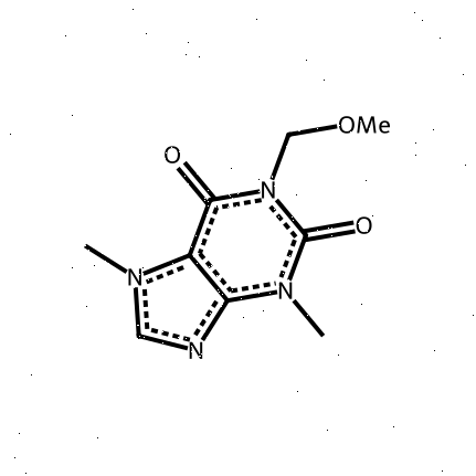 COCn1c(=O)c2c(ncn2C)n(C)c1=O